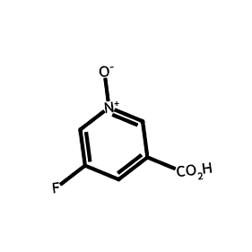 O=C(O)c1cc(F)c[n+]([O-])c1